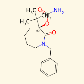 CC(C)(C)[C@@]1(OC(N)=O)CCCCN(Cc2ccccc2)C1=O